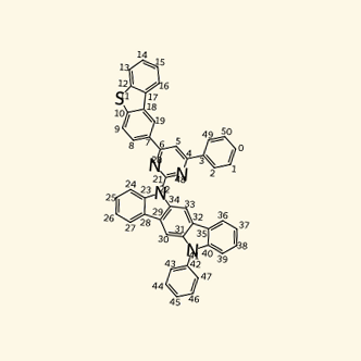 c1ccc(-c2cc(-c3ccc4sc5ccccc5c4c3)nc(-n3c4ccccc4c4cc5c(cc43)c3ccccc3n5-c3ccccc3)n2)cc1